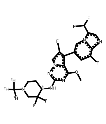 [2H]C([2H])([2H])N1CC[C@@H](Nc2nc(OC)c3c(-c4cc(F)c5ncc(C(F)F)n5c4)c(F)cn3n2)C(F)(F)C1